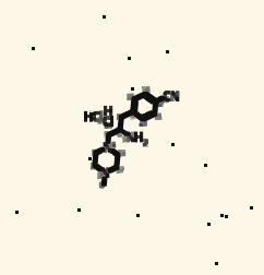 CN1CCN(C[C@H](N)Cc2ccc(C#N)cc2)CC1.Cl.Cl